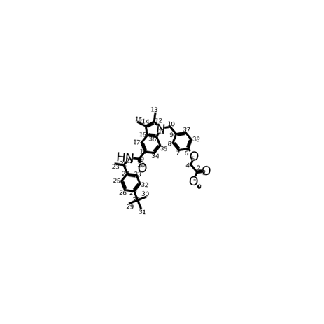 COC(=O)COc1ccc(Cn2c(C)c(C)c3cc(C(=O)NC(C)c4ccc(C(C)(C)C)cc4)ccc32)cc1